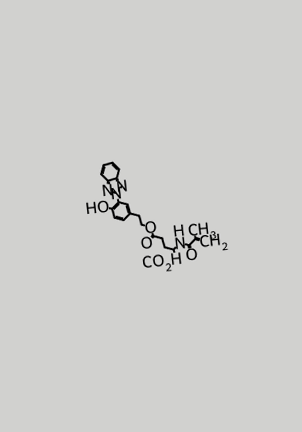 C=C(C)C(=O)NC(CCC(=O)OCCc1ccc(O)c(-n2nc3ccccc3n2)c1)C(=O)O